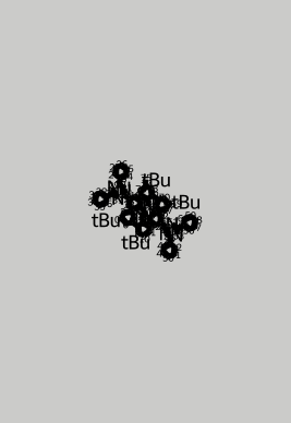 CC(C)(C)c1ccc2c(c1)c1cc(C(C)(C)C)ccc1n2[Si](c1ccc(-c2nc(-c3ccccc3)nc(-c3ccccc3)n2)cc1)(c1ccc(-c2nc(-c3ccccc3)nc(-c3ccccc3)n2)cc1)n1c2ccc(C(C)(C)C)cc2c2cc(C(C)(C)C)ccc21